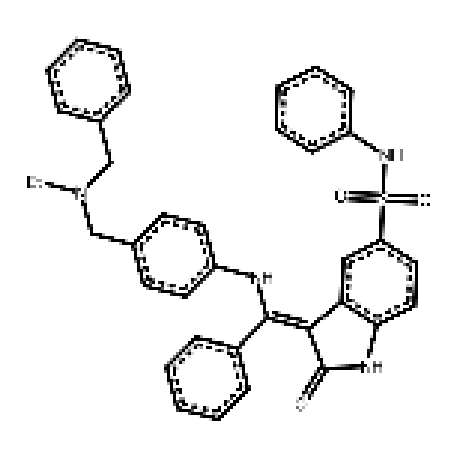 CCN(Cc1ccccc1)Cc1ccc(NC(=C2C(=O)Nc3ccc(S(=O)(=O)Nc4ccccc4)cc32)c2ccccc2)cc1